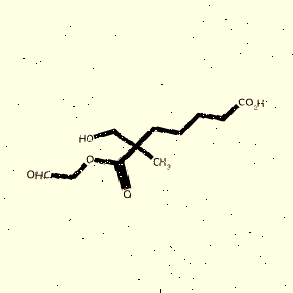 CC(CO)(CCCCC(=O)O)C(=O)OCC=O